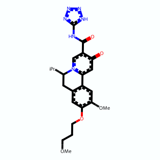 COCCCOc1cc2c(cc1OC)-c1cc(=O)c(C(=O)Nc3nnn[nH]3)cn1C(C(C)C)C2